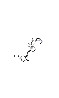 C=C1CC[C@H](O)C/C1=C\C=C1/CCC[C@@]2(C)C1CC[C@@H]2[C@@H](C)/C=C/[C@H](C)C(C)C